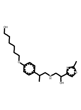 Cc1nc(C(O)CNCC(C)c2ccc(OCCCCCCO)cc2)cs1